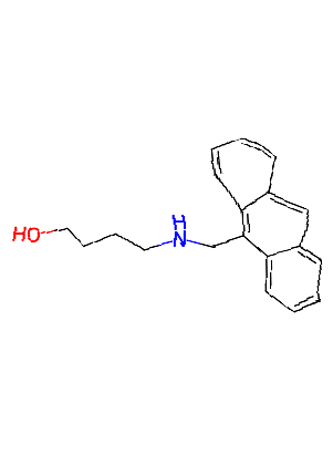 OCCCCNCc1c2ccccc2cc2ccccc12